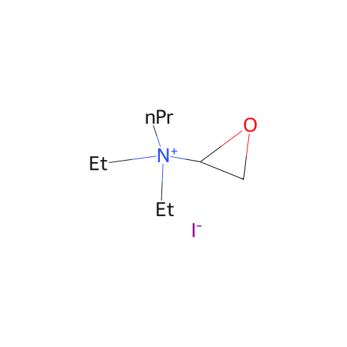 CCC[N+](CC)(CC)C1CO1.[I-]